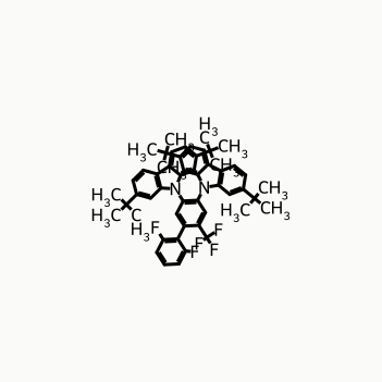 CC(C)(C)c1ccc2c3ccc(C(C)(C)C)cc3n(-c3cc(-c4c(F)cccc4F)c(C(F)(F)F)cc3-n3c4cc(C(C)(C)C)ccc4c4ccc(C(C)(C)C)cc43)c2c1